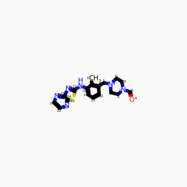 Cc1c(CN2CCN(C=O)CC2)cccc1Nc1nc2nccnc2s1